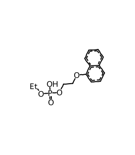 CCOP(=O)(O)OCCOc1cccc2ccccc12